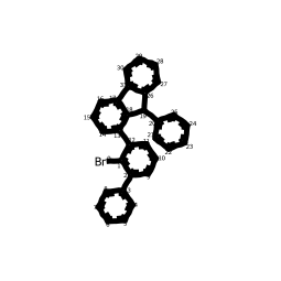 Brc1c(-c2ccccc2)cccc1-c1cccc2c1C(c1ccccc1)c1ccccc1-2